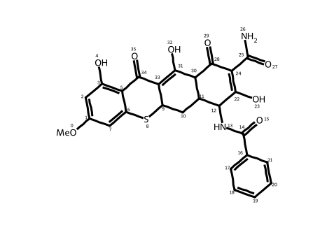 COc1cc(O)c2c(c1)SC1CC3C(NC(=O)c4ccccc4)C(O)=C(C(N)=O)C(=O)C3C(O)=C1C2=O